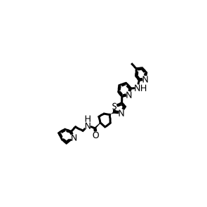 Cc1ccnc(Nc2cccc(-c3cnc([C@H]4CC[C@H](C(=O)NCCc5ccccn5)CC4)s3)n2)c1